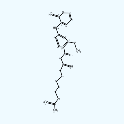 C=C(C)CCCCCCC(=N)CC(=O)c1ccc(NC2=CC=CCC2=N)cc1CC